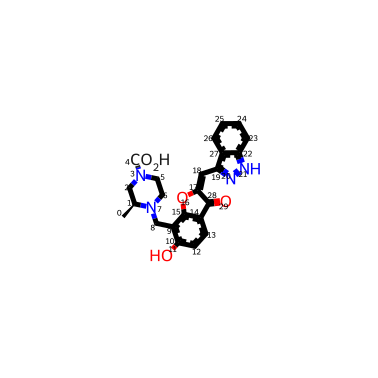 C[C@H]1CN(C(=O)O)CCN1Cc1c(O)ccc2c1OC(=Cc1n[nH]c3ccccc13)C2=O